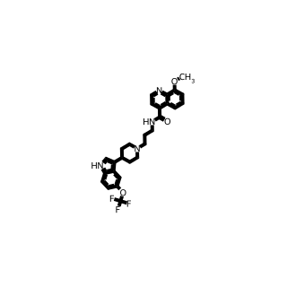 COc1cccc2c(C(=O)NCCCN3CCC(c4c[nH]c5ccc(OC(F)(F)F)cc45)CC3)ccnc12